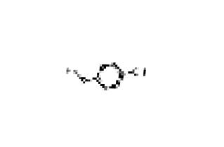 Oc1ccc(SS)cc1